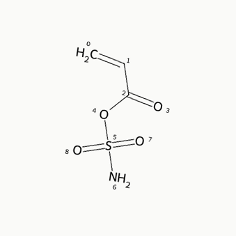 C=CC(=O)OS(N)(=O)=O